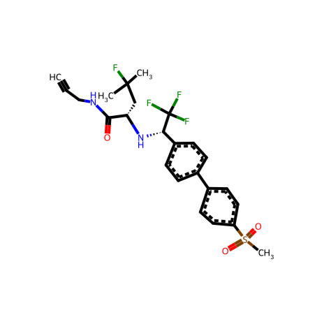 C#CCNC(=O)[C@H](CC(C)(C)F)N[C@@H](c1ccc(-c2ccc(S(C)(=O)=O)cc2)cc1)C(F)(F)F